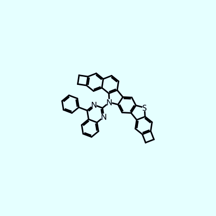 c1ccc(-c2nc(-n3c4cc5c(cc4c4ccc6cc7c(cc6c43)CC7)sc3cc4c(cc35)CC4)nc3ccccc23)cc1